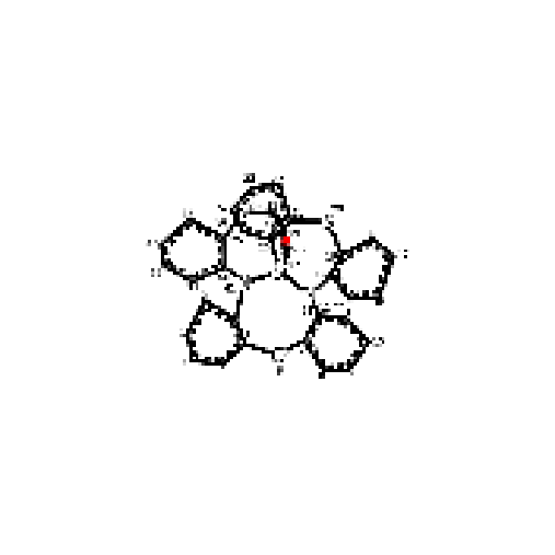 c1ccc2c(c1)Oc1ccccc1N1c3ccccc3Sc3ccccc3[Si]13c1ccccc1Sc1ccccc1N23